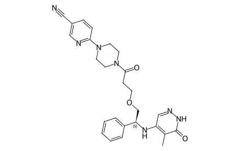 Cc1c(N[C@H](COCCC(=O)N2CCN(c3ccc(C#N)cn3)CC2)c2ccccc2)cn[nH]c1=O